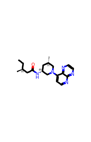 CC[C@H](C)CC(=O)N[C@@H]1C[C@H](C)CN(c2ccnc3nccnc23)C1